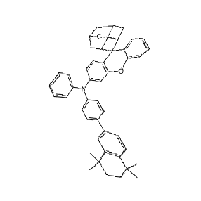 CC1(C)CCC(C)(C)c2cc(-c3ccc(N(c4ccccc4)c4ccc5c(c4)Oc4ccccc4C54C5CC6CC7CC4C75C6)cc3)ccc21